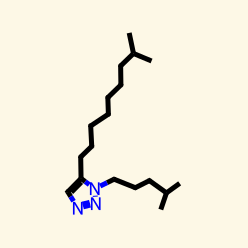 CC(C)CCCCCCCc1cnnn1CCCC(C)C